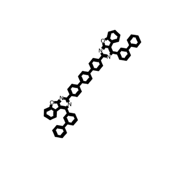 c1ccc(-c2cccc(-c3nc(-c4ccc(-c5ccc(-c6ccc(-c7nc(-c8cccc(-c9ccccc9)c8)c8c(n7)oc7ccccc78)cc6)cc5)cc4)nc4oc5ccccc5c34)c2)cc1